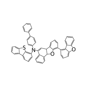 C1=C(N(c2ccc(-c3ccccc3)cc2)c2cccc3c2sc2ccccc23)c2ccccc2C2Oc3c(-c4cccc5oc6ccccc6c45)cccc3C12